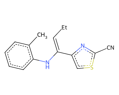 CC/C=C(/Nc1ccccc1C)c1csc(C#N)n1